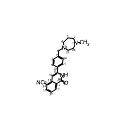 CN1CCCN(Cc2ccc(-c3cc4c(C#N)cccc4c(=O)[nH]3)cc2)CC1